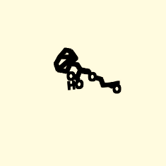 O=C(O)C(=COCCC1CO1)CC12CC3CC(CC(C3)C1)C2